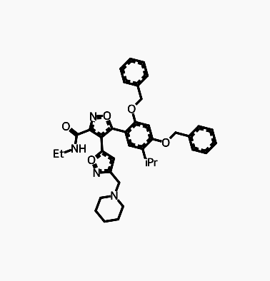 CCNC(=O)c1noc(-c2cc(C(C)C)c(OCc3ccccc3)cc2OCc2ccccc2)c1-c1cc(CN2CCCCC2)no1